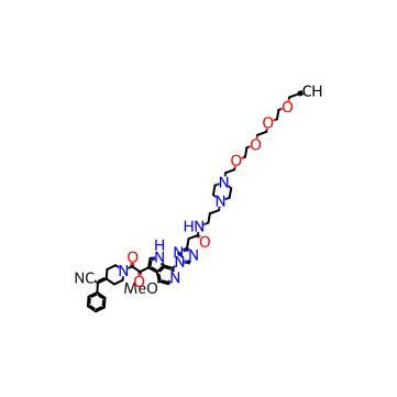 C#CCOCCOCCOCCOCCN1CCN(CCCNC(=O)Cc2ncn(-c3ncc(OC)c4c(C(=O)C(=O)N5CCC(=C(C#N)c6ccccc6)CC5)c[nH]c34)n2)CC1